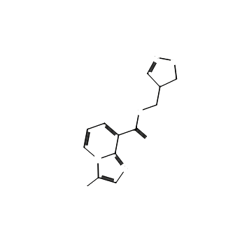 O=C(NCC1C=NNC1)c1cccn2c(C(=O)O)cnc12